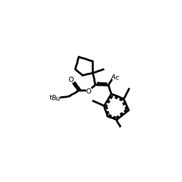 CC(=O)/C(=C(/OC(=O)CC(C)(C)C)C1(C)CCCC1)c1c(C)cc(C)cc1C